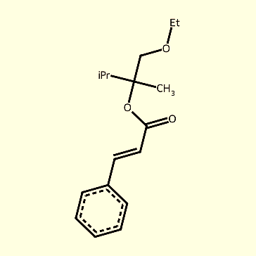 CCOCC(C)(OC(=O)C=Cc1ccccc1)C(C)C